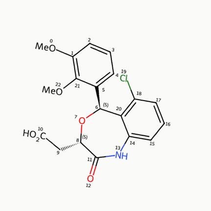 COc1cccc([C@@H]2O[C@@H](CC(=O)O)C(=O)Nc3cccc(Cl)c32)c1OC